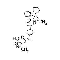 CC1=NC(c2ccccc2)(c2ccccc2)C(=O)N1CC(=O)c1ccc(NC(=O)Cc2c(C)noc2C)cc1